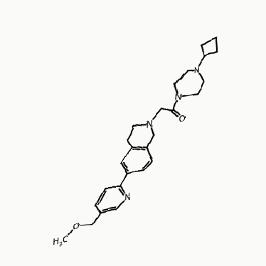 COCc1ccc(-c2ccc3c(c2)CCN(CC(=O)N2CCN(C4CCC4)CC2)C3)nc1